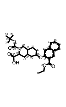 CCOC(=O)c1cc2ccccc2cc1OC1CCC2CN(C(=O)OC(C)(C)C)C(C(=O)O)CC2C1